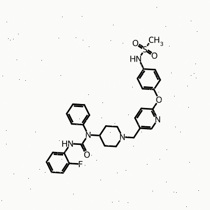 CS(=O)(=O)Nc1ccc(Oc2ccc(CN3CCC(N(C(=O)Nc4ccccc4F)c4ccccc4)CC3)cn2)cc1